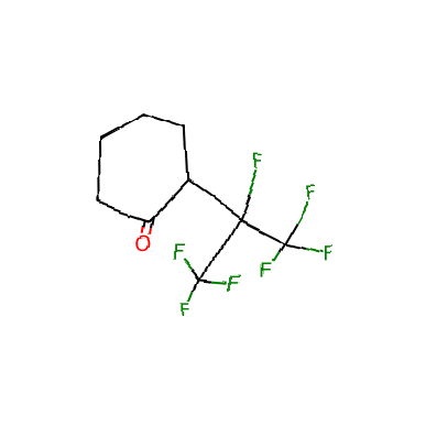 O=C1CCCCC1C(F)(C(F)(F)F)C(F)(F)F